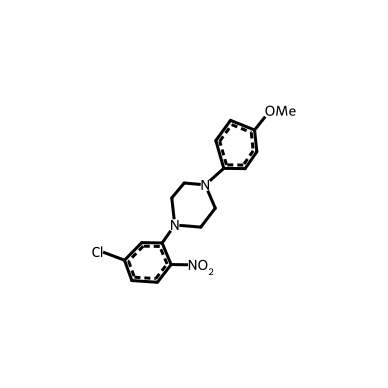 COc1ccc(N2CCN(c3cc(Cl)ccc3[N+](=O)[O-])CC2)cc1